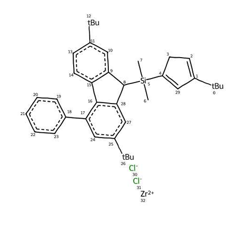 CC(C)(C)C1=CCC([Si](C)(C)C2c3cc(C(C)(C)C)ccc3-c3c(-c4ccccc4)cc(C(C)(C)C)cc32)=C1.[Cl-].[Cl-].[Zr+2]